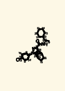 CN(NC(=O)c1nn(-c2ccc(Cl)cc2)c2c1C1CCC2C1)C1CCCCC1